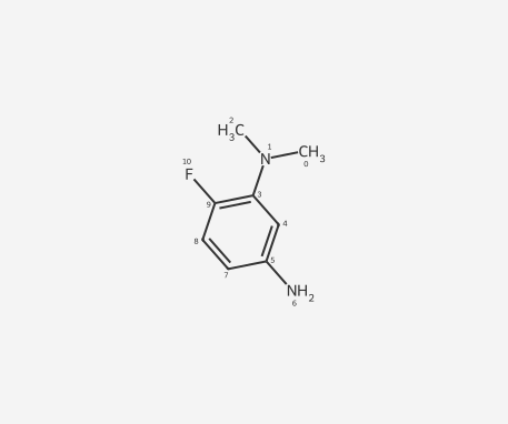 CN(C)c1cc(N)ccc1F